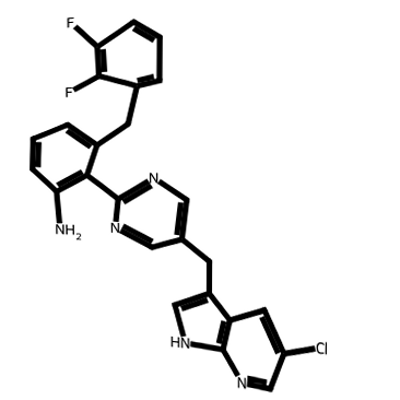 Nc1cccc(Cc2cccc(F)c2F)c1-c1ncc(Cc2c[nH]c3ncc(Cl)cc23)cn1